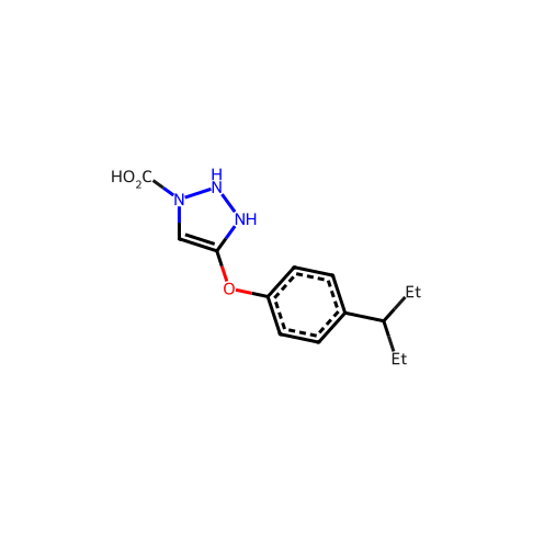 CCC(CC)c1ccc(OC2=CN(C(=O)O)NN2)cc1